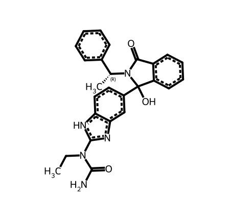 CCN(C(N)=O)c1nc2cc(C3(O)c4ccccc4C(=O)N3[C@H](C)c3ccccc3)ccc2[nH]1